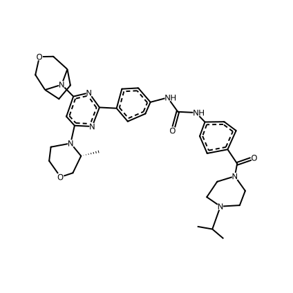 CC(C)N1CCN(C(=O)c2ccc(NC(=O)Nc3ccc(-c4nc(N5C6CCC5COC6)cc(N5CCOC[C@H]5C)n4)cc3)cc2)CC1